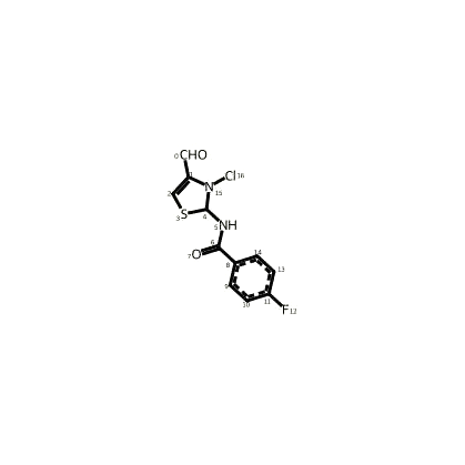 O=CC1=CSC(NC(=O)c2ccc(F)cc2)N1Cl